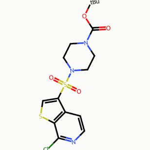 CC(C)(C)OC(=O)N1CCN(S(=O)(=O)c2csc3c(Cl)nccc23)CC1